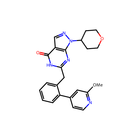 COc1cc(-c2ccccc2Cc2nc3c(cnn3C3CCOCC3)c(=O)[nH]2)ccn1